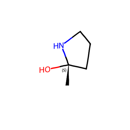 C[C@]1(O)CCCN1